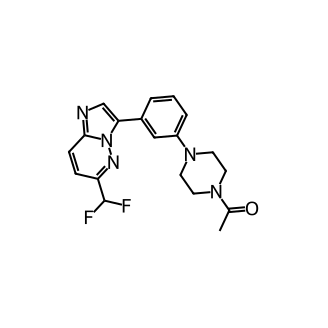 CC(=O)N1CCN(c2cccc(-c3cnc4ccc(C(F)F)nn34)c2)CC1